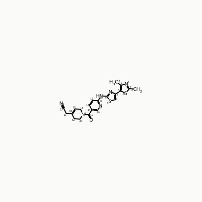 Cc1nc(C)c(-c2csc(Nc3ccc(C(=O)N4CC=C(CC#N)CC4)cn3)n2)s1